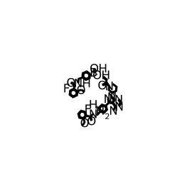 C=CC(=O)N1CCC[C@@H](n2nc(-c3ccc(CNC(=O)c4c(F)cccc4OC)cc3)c3c(N)ncnc32)C1.COc1cccc(F)c1C(=O)NCc1ccc(B(O)O)cc1